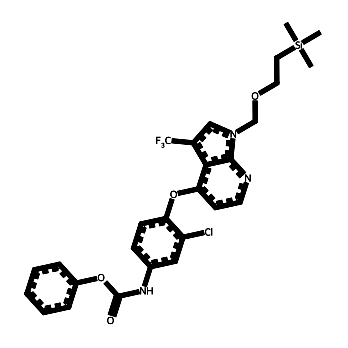 C[Si](C)(C)CCOCn1cc(C(F)(F)F)c2c(Oc3ccc(NC(=O)Oc4ccccc4)cc3Cl)ccnc21